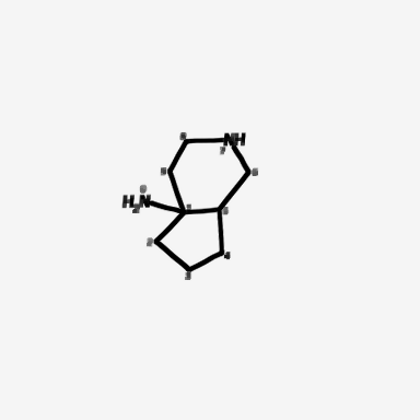 NC12CCCC1CNCC2